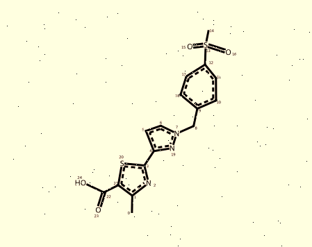 Cc1nc(-c2ccn(Cc3ccc(S(C)(=O)=O)cc3)n2)sc1C(=O)O